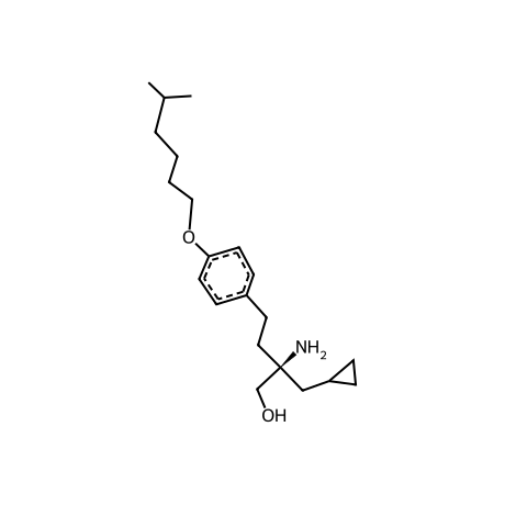 CC(C)CCCCOc1ccc(CC[C@@](N)(CO)CC2CC2)cc1